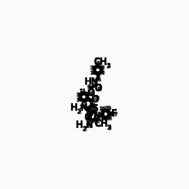 Cc1ccc(CNC(=O)COc2ccccc2C(=O)c2sc(N(c3ccc(F)cc3)C(C)C(N)=O)nc2N)cc1